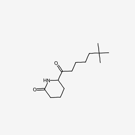 CC(C)(C)CCCCC(=O)C1CCCC(=O)N1